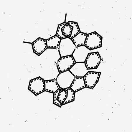 Cc1ccc2c(c1)c1cc(C)ccc1n2-c1nc(-n2c3ccccc3c3ccccc32)c(-n2c3ccccc3c3ccccc32)c(-c2ccncc2)c1-n1c2ccccc2c2ccccc21